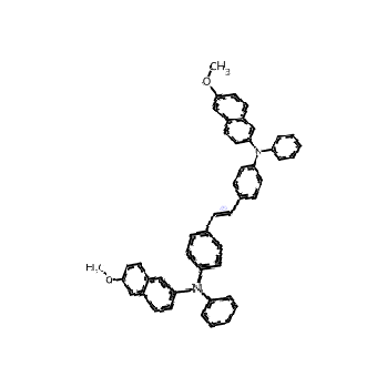 COc1ccc2cc(N(c3ccccc3)c3ccc(/C=C/c4ccc(N(c5ccccc5)c5ccc6cc(OC)ccc6c5)cc4)cc3)ccc2c1